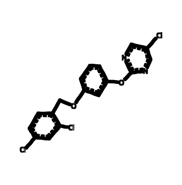 Clc1cnc(Oc2cccc(OCc3ccc(Cl)cc3Cl)c2)nc1